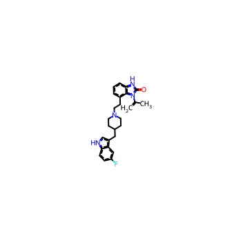 C=C(C)n1c(=O)[nH]c2cccc(CCN3CCC(Cc4c[nH]c5ccc(F)cc45)CC3)c21